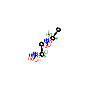 O=C(O)c1c(Oc2cc(F)c(C#Cc3ccccc3)c(OC(F)(F)F)c2)nnn1-c1cccc(C#Cc2cc(Oc3nn[nH]c3C(O)O)cc(F)c2Cl)c1